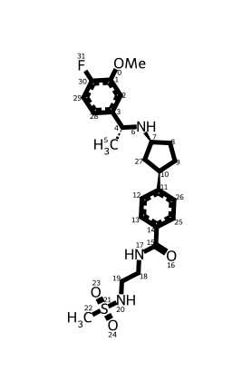 COc1cc([C@@H](C)N[C@H]2CC[C@@H](c3ccc(C(=O)NCCNS(C)(=O)=O)cc3)C2)ccc1F